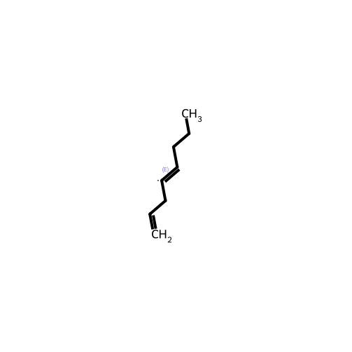 C=CC/[C]=C/CCC